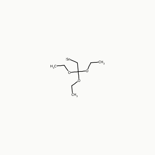 CCOC([CH2][Sn])(OCC)OCC